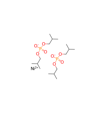 CC(C)COP(=O)([O-])OCC(C)C.CC(C)COP(=O)([O-])OCC(C)C.[Ni+2]